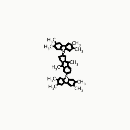 Cc1cc2c3cc(C)c(C)cc3n(-c3ccc4c(C)c5cc(-n6c7cc(C)c(C)cc7c7cc(C)c(C)cc76)ccc5c(C)c4c3)c2cc1C